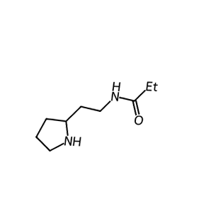 CCC(=O)NCCC1CCCN1